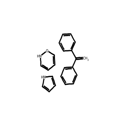 C1=CNOC=C1.C=C(c1ccccc1)c1ccccc1.c1cc[nH]c1